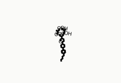 C=C(CO)C(=O)OCC(COC(O)C(=C)CO)C1CCC(C2CCC(c3ccc(CCCCC)cc3)CC2)OC1